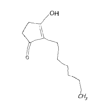 CCCCCCC1=C(O)CCC1=O